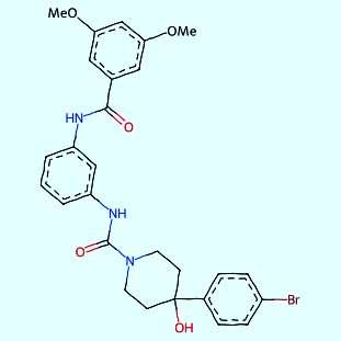 COc1cc(OC)cc(C(=O)Nc2cccc(NC(=O)N3CCC(O)(c4ccc(Br)cc4)CC3)c2)c1